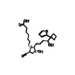 N#CC1C[C@@H](O)C(/C=C/CC(O)C2(c3cccs3)CCC2)[C@H]1CCCCCCC(=O)O